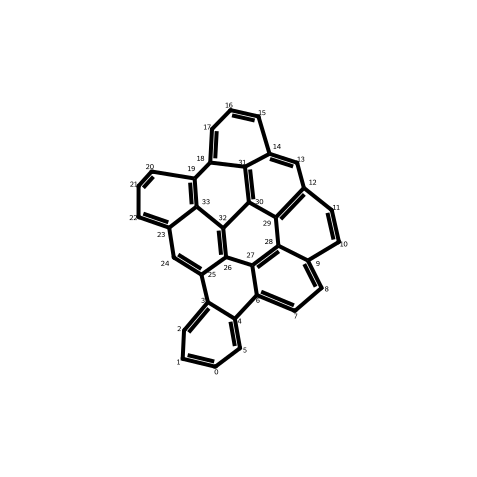 c1ccc2c(c1)c1ccc3ccc4cc5cccc6c7cccc8cc2c2c1c3c4c(c56)c2c87